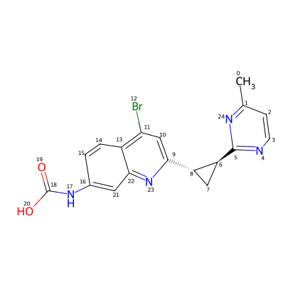 Cc1ccnc([C@H]2C[C@@H]2c2cc(Br)c3ccc(NC(=O)O)cc3n2)n1